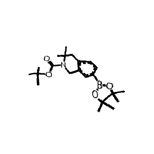 CC(C)(C)OC(=O)N1Cc2cc(B3OC(C)(C)C(C)(C)O3)ccc2CC1(C)C